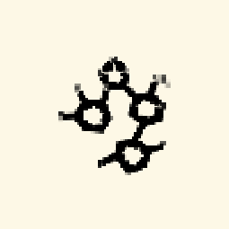 Nc1ncc(-c2cc(F)ccc2F)cc1-c1nnnn1-c1cccc(F)c1F